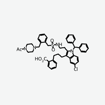 CC(=O)N1CCN(Cc2ccccc2CS(=O)(=O)NCCc2c(CCCc3ccccc3C(=O)O)c3cc(Cl)ccc3n2C(c2ccccc2)c2ccccc2)CC1